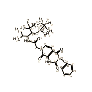 CC(C)C(NC(=O)Cn1ccc2c(=O)n(Cc3ccccc3)c(=O)[nH]c2c1=O)C(O[Si](C)(C)C(C)(C)C)C(F)(F)F